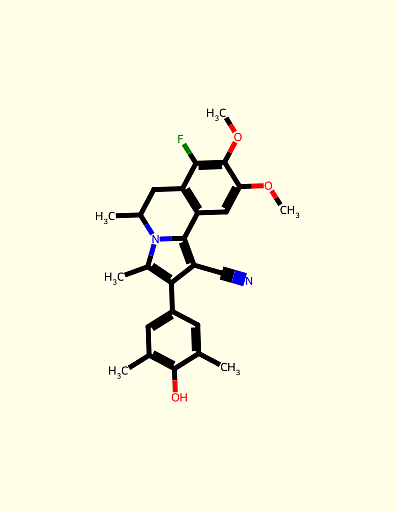 COc1cc2c(c(F)c1OC)CC(C)n1c(C)c(-c3cc(C)c(O)c(C)c3)c(C#N)c1-2